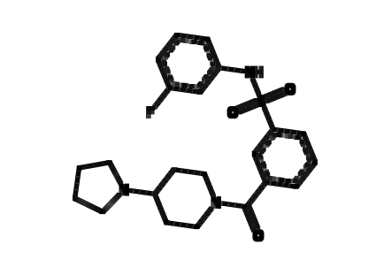 O=C(c1cccc(S(=O)(=O)Nc2cccc(F)c2)c1)N1CCC(N2CCCC2)CC1